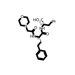 CC(C)C[C@H](NC(=O)[C@H](CCc1ccccc1)NC(=O)CN1CCOCC1)C(=O)O